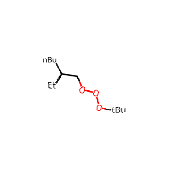 CCCCC(CC)COOOC(C)(C)C